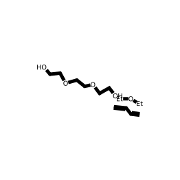 C=CC=C.CCOCC.OCCOCCOCCO